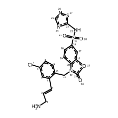 NCC=Cc1cc(Cl)ccc1Cn1c(=O)oc2cc(S(=O)(=O)Nc3ncns3)ccc21